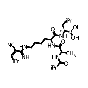 CC(C)C=C(C#N)C(=N)NCCCCC(NC(=O)C(C)NC(=O)C(C)C)C(=O)N[C@@H](CC(C)C)B(O)O